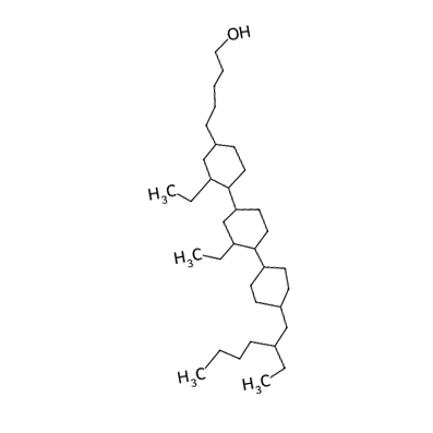 CCCCC(CC)CC1CCC(C2CCC(C3CCC(CCCCCO)CC3CC)CC2CC)CC1